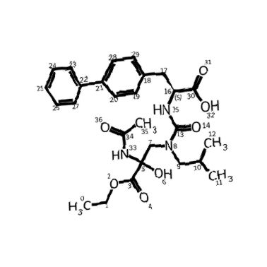 CCOC(=O)C(O)(CN(CC(C)C)C(=O)N[C@@H](Cc1ccc(-c2ccccc2)cc1)C(=O)O)NC(C)=O